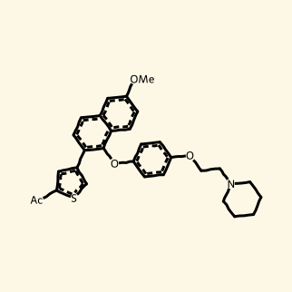 COc1ccc2c(Oc3ccc(OCCN4CCCCC4)cc3)c(-c3csc(C(C)=O)c3)ccc2c1